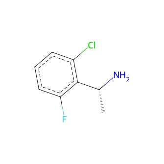 C[C@@H](N)c1c(F)cccc1Cl